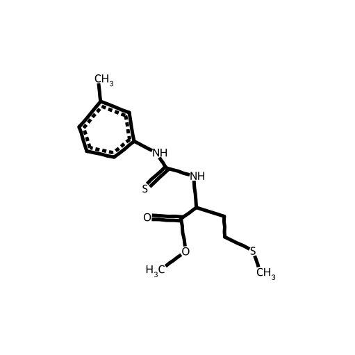 COC(=O)C(CCSC)NC(=S)Nc1cccc(C)c1